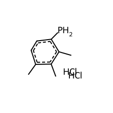 Cc1ccc(P)c(C)c1C.Cl.Cl